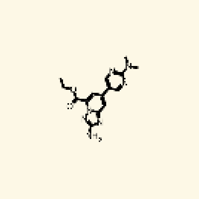 CCOC(=O)c1cc(-c2cnc(N(C)C)nc2)cc2nc(N)nn12